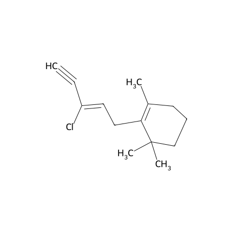 C#CC(Cl)=CCC1=C(C)CCCC1(C)C